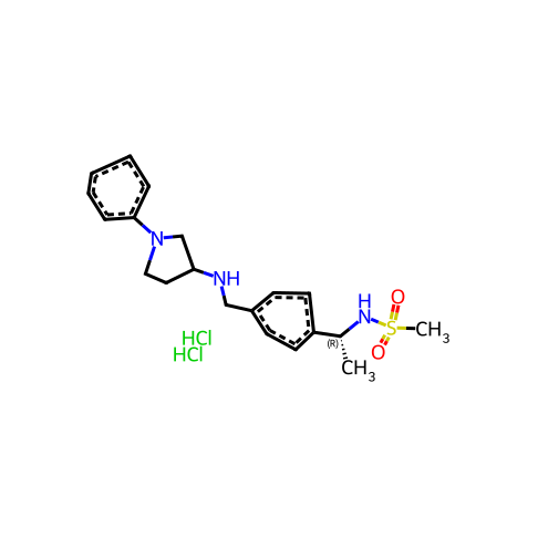 C[C@@H](NS(C)(=O)=O)c1ccc(CNC2CCN(c3ccccc3)C2)cc1.Cl.Cl